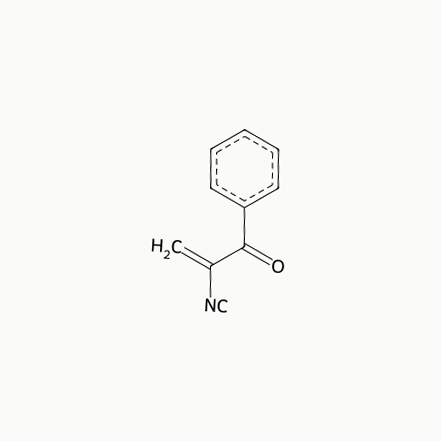 [C-]#[N+]C(=C)C(=O)c1ccccc1